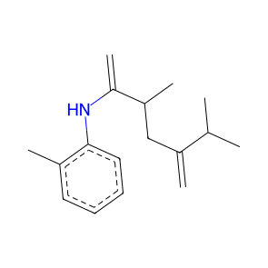 C=C(CC(C)C(=C)Nc1ccccc1C)C(C)C